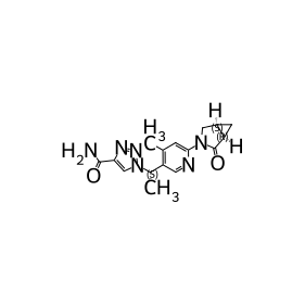 Cc1cc(N2C[C@H]3C[C@H]3C2=O)ncc1[C@H](C)n1cc(C(N)=O)nn1